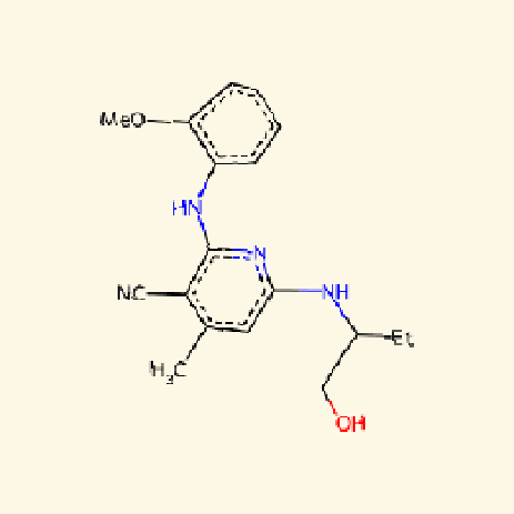 CCC(CO)Nc1cc(C)c(C#N)c(Nc2ccccc2OC)n1